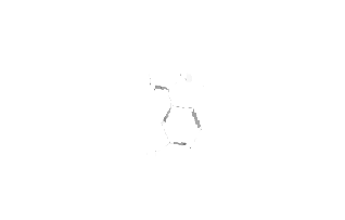 N/C(=N\O)c1ccnc(Cl)c1